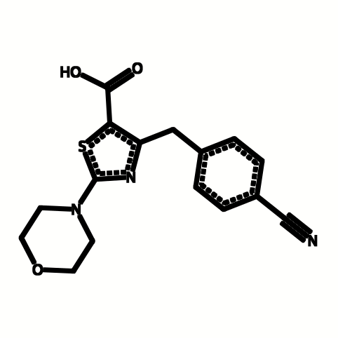 N#Cc1ccc(Cc2nc(N3CCOCC3)sc2C(=O)O)cc1